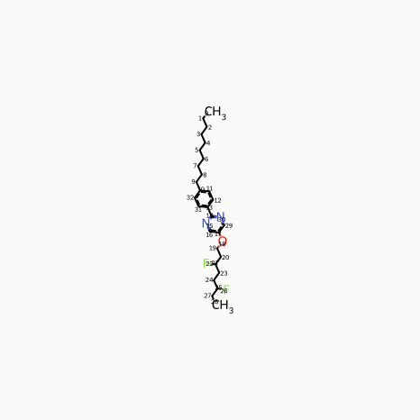 CCCCCCCCCCc1ccc(-c2ncc(OCCC(F)CCC(F)CC)cn2)cc1